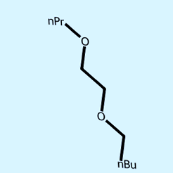 [CH2]CCOCCOCCCCC